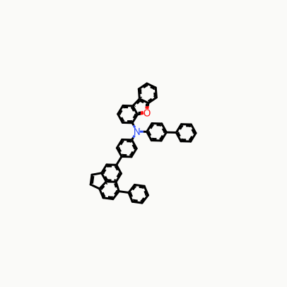 C1=Cc2cc(-c3ccc(N(c4ccc(-c5ccccc5)cc4)c4cccc5c4oc4ccccc45)cc3)cc3c(-c4ccccc4)ccc1c23